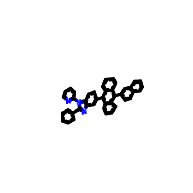 c1ccc(-c2nc3cc(-c4c5ccccc5c(-c5ccc6ccccc6c5)c5ccccc45)ccc3n2-c2ccccn2)cc1